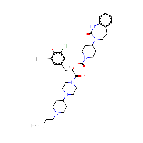 Cc1cc(C[C@@H](OC(=O)N2CCC(N3CCc4ccccc4NC3=O)CC2)C(=O)N2CCN(C3CCN(CCC(=O)O)CC3)CC2)cc(Cl)c1O